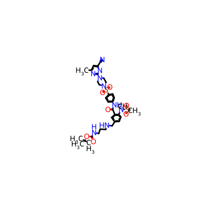 Cc1cc(C#N)nc(N2CCN(S(=O)(=O)c3ccc(NC(=O)c4cc(CNCCCNC(=O)OC(C)(C)C)ccc4N(C)S(C)(=O)=O)cc3)CC2)n1